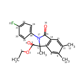 CCOC(=O)C1(C)c2cc(C)c(C)cc2C(=O)N1c1ccc(F)cc1